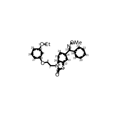 CCOc1[c]c(OCCn2c(=O)sc3cc(C(=NOC)c4ccccc4)ccc32)ccc1